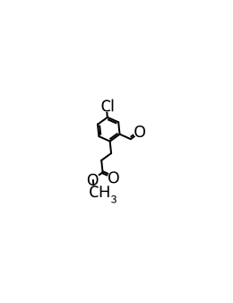 COC(=O)CCc1ccc(Cl)cc1C=O